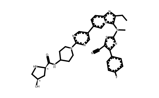 CCc1nc2ccc(-c3cnc(N4CCC(NC(=O)[C@H]5C[C@@H](O)CN5)CC4)nc3)cn2c1N(C)c1nc(-c2ccc(F)cc2)c(C#N)s1